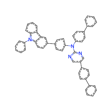 c1ccc(-c2ccc(-c3cnc(N(c4ccc(-c5ccccc5)cc4)c4ccc(-c5ccc6c(c5)c5ccccc5n6-c5ccccc5)cc4)nc3)cc2)cc1